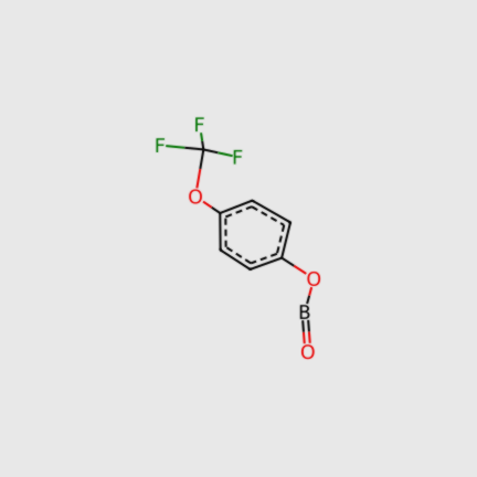 O=BOc1ccc(OC(F)(F)F)cc1